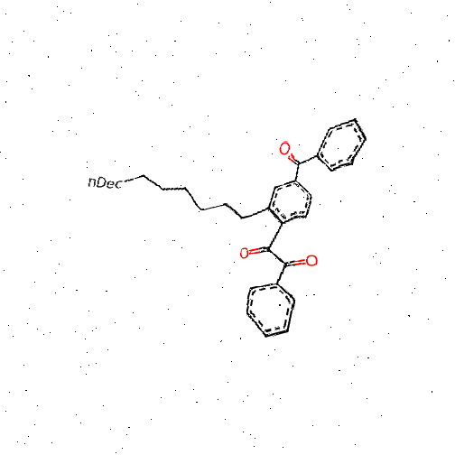 CCCCCCCCCCCCCCCCc1cc(C(=O)c2ccccc2)ccc1C(=O)C(=O)c1ccccc1